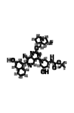 CC(C)(C)OC(=O)N[C@H]1C[C@H](O)CN(c2nc(OC[C@@]34CCCN3C[C@H](F)C4)nc3c(F)c(-c4cc(O)cc5ccccc45)ncc23)C1